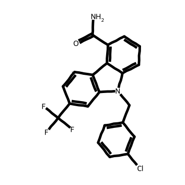 NC(=O)c1cccc2c1c1[c]cc(C(F)(F)F)cc1n2Cc1cccc(Cl)c1